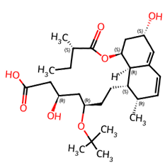 CC[C@H](C)C(=O)O[C@H]1C[C@H](O)C=C2C=C[C@H](C)[C@H](CC[C@H](C[C@@H](O)CC(=O)O)OC(C)(C)C)[C@H]21